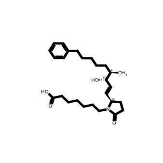 C[C@H](CCCCCc1ccccc1)[C@@H](O)C=C[C@H]1CCC(=O)N1CCCCCCC(=O)O